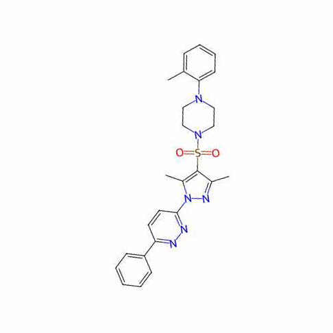 Cc1ccccc1N1CCN(S(=O)(=O)c2c(C)nn(-c3ccc(-c4ccccc4)nn3)c2C)CC1